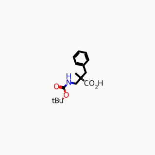 CC(C)(C)OC(=O)NCC(C)(Cc1ccccc1)C(=O)O